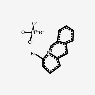 Brc1cccc2cc3ccccc3c[n+]12.[O-][Cl+3]([O-])([O-])[O-]